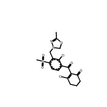 CC1=NN(Cc2c(S(C)(=O)=O)ccc(C(=O)C3=C(Cl)CCCC3=O)c2Cl)CO1